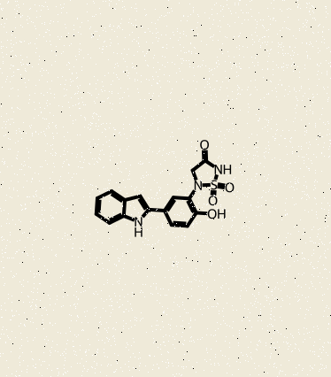 O=C1CN(c2cc(-c3cc4ccccc4[nH]3)ccc2O)S(=O)(=O)N1